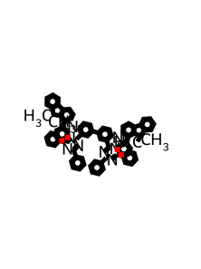 CC1(C)c2ccccc2-c2ccc3c(c21)c1ccccc1n3-c1ccc(-c2ccc(-n3c4ccccc4c4c5c(ccc43)-c3ccccc3C5(C)C)c(-c3nc(-c4ccccc4)nc(-c4ccccc4)n3)c2)cc1-c1nc(-c2ccccc2)nc(-c2ccccc2)n1